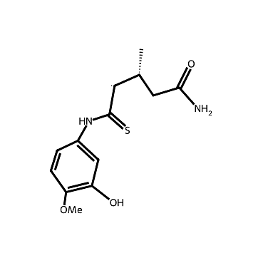 COc1ccc(NC(=S)[CH][C@H](C)CC(N)=O)cc1O